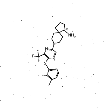 Cc1cccc(Sc2ncc(N3CCC4(CCC[C@H]4N)CC3)nc2C(F)(F)F)c1C